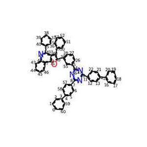 c1ccc(-c2ccc(-c3nc(-c4ccc(-c5ccccc5)cc4)nc(-c4cccc(-c5oc6c(c(-c7ccccc7)nc7ccccc76)c5-c5ccccc5)c4)n3)cc2)cc1